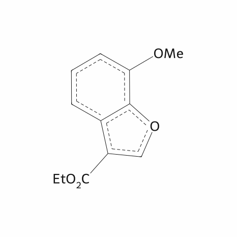 CCOC(=O)c1coc2c(OC)cccc12